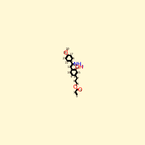 C=CC(=O)OCCCc1ccc(/C=C(\N)c2ccc(OC)cc2)c(O)c1